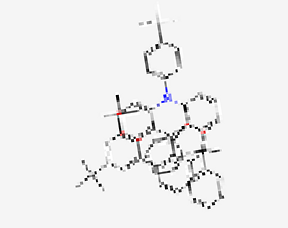 CC(C)(C)c1ccc(N(c2ccccc2-c2cccc3cccc(-c4cc(C(C)(C)C)cc(C(C)(C)C)c4)c23)c2cccc3c2-c2ccccc2C3(C)c2ccccc2)cc1